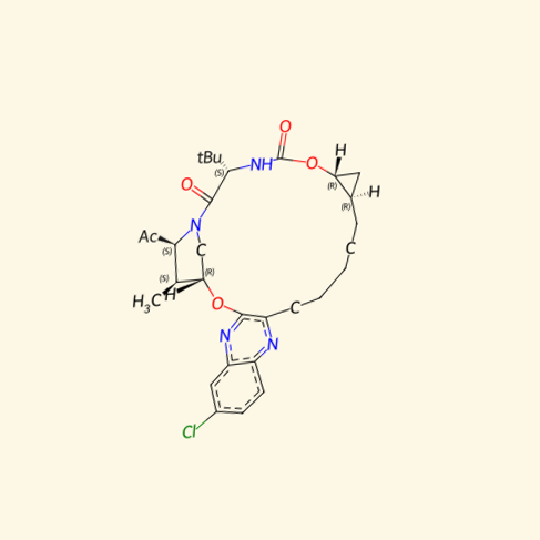 CC(=O)[C@@H]1[C@H](C)[C@@H]2CN1C(=O)[C@H](C(C)(C)C)NC(=O)O[C@@H]1C[C@H]1CCCCCc1nc3ccc(Cl)cc3nc1O2